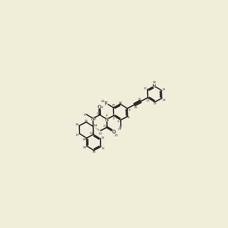 CN1C(=O)N(c2c(F)cc(C#Cc3cccnc3)cc2F)C(=O)C[C@]12CCCc1ccccc12